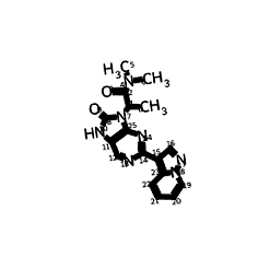 CC(C(=O)N(C)C)n1c(=O)[nH]c2cnc(-c3cnn4ccccc34)nc21